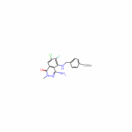 COc1ccc(CNc2c(F)c(Cl)cc3c(=O)n(C)nc(N)c23)cc1